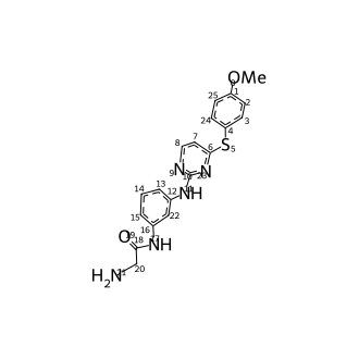 COc1ccc(Sc2ccnc(Nc3cccc(NC(=O)CN)c3)n2)cc1